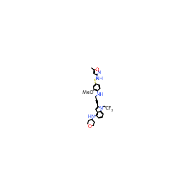 COc1cc(SNc2cc(C)on2)ccc1NCC#Cc1cc2c(NC3CCOCC3)cccc2n1CC(F)(F)F